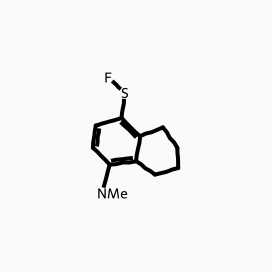 CNc1ccc(SF)c2c1CCCC2